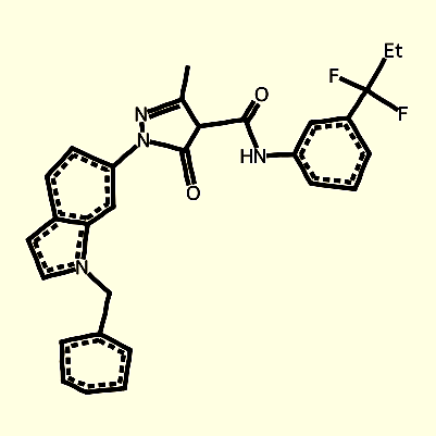 CCC(F)(F)c1cccc(NC(=O)C2C(=O)N(c3ccc4ccn(Cc5ccccc5)c4c3)N=C2C)c1